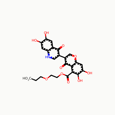 O=C(O)CCOCCOC(=O)c1c(O)c(O)cc2occ(-c3c[nH]c4cc(O)c(O)cc4c3=O)c(=O)c12